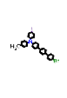 Cc1ccc(N(C2=CCC(I)C=C2)c2ccc(-c3ccc(-c4ccc(Br)cc4)cc3)cc2)cc1